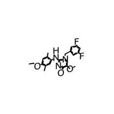 CCOc1cc(C)c(Nc2nc(=O)c(OC)cn2Cc2cc(F)cc(F)c2)cc1C